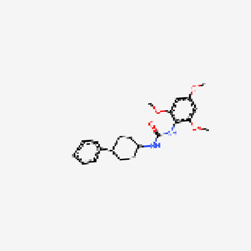 COc1cc(OC)c(NC(=O)NC2CCC(c3ccccc3)CC2)c(OC)c1